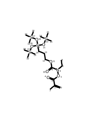 C=C(C)C(=O)ON(CC)C(=O)OCCC[Si](O[Si](C)(C)C)(O[Si](C)(C)C)O[Si](C)(C)C